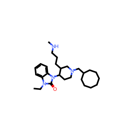 CCn1c(=O)n(C2CCN(CC3CCCCCCC3)CC2CCCNC)c2ccccc21